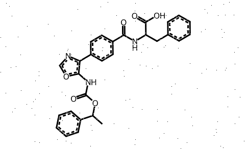 CC(OC(=O)Nc1ocnc1-c1ccc(C(=O)NC(Cc2ccccc2)C(=O)O)cc1)c1ccccc1